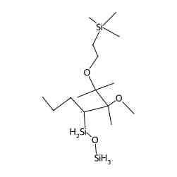 CCC[C]([SiH2]O[SiH3])C(C)(OC)C(C)(C)OCC[Si](C)(C)C